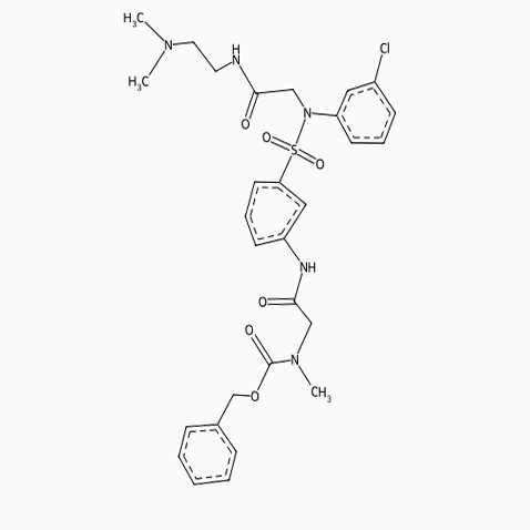 CN(C)CCNC(=O)CN(c1cccc(Cl)c1)S(=O)(=O)c1cccc(NC(=O)CN(C)C(=O)OCc2ccccc2)c1